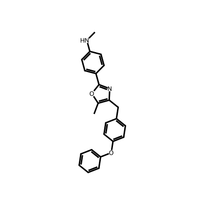 CNc1ccc(-c2nc(Cc3ccc(Oc4ccccc4)cc3)c(C)o2)cc1